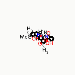 COc1c(C)cc2c(c1O)[C@H]1[C@@H]3CC4=C(C(=O)C(O)=C(C)C4=O)[C@H](CN4C(=O)c5ccccc5C4=O)N3[C@@H](C#N)[C@H](C2)N1C